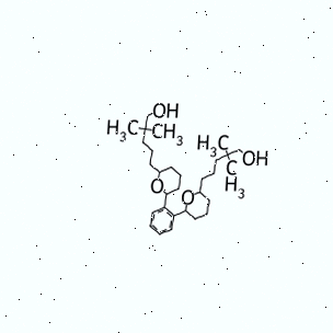 CC(C)(CO)CCCC1CCCC(c2ccccc2C2CCCC(CCCC(C)(C)CO)O2)O1